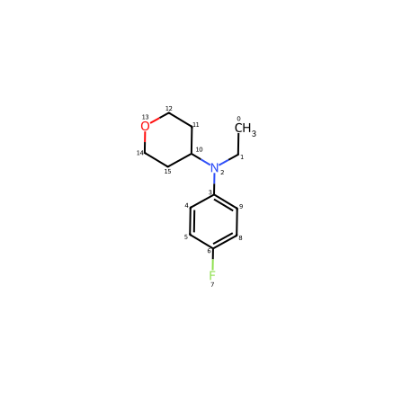 CCN(c1ccc(F)cc1)C1CCOCC1